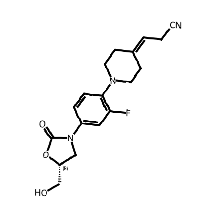 N#CCC=C1CCN(c2ccc(N3C[C@H](CO)OC3=O)cc2F)CC1